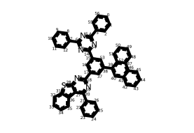 c1ccc(-c2nc(-c3ccccc3)nc(-c3cc(-c4nc(-c5ccccc5)c5c(n4)sc4ccccc45)cc(-c4cc5ccccc5c5ccccc45)c3)n2)cc1